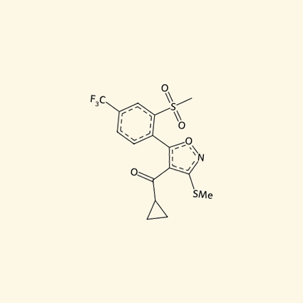 CSc1noc(-c2ccc(C(F)(F)F)cc2S(C)(=O)=O)c1C(=O)C1CC1